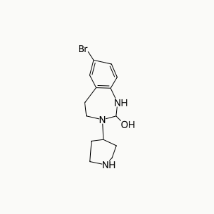 OC1Nc2ccc(Br)cc2CCN1C1CCNCC1